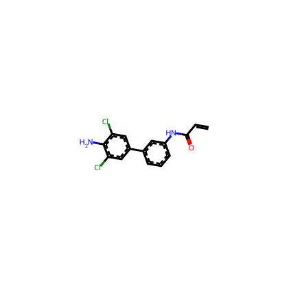 C=CC(=O)Nc1cccc(-c2cc(Cl)c(N)c(Cl)c2)c1